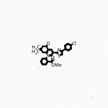 COC(=O)c1ccccc1-n1c2c(cc(-c3nc(-c4ccc(Cl)cc4)cs3)c1=O)C(=O)CC(C)(C)C2